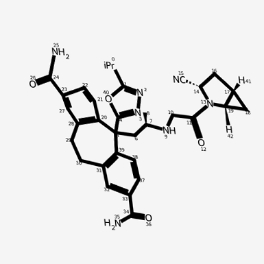 CC(C)c1nnc(C2(C[C@@H](C)NCC(=O)N3[C@H](C#N)C[C@@H]4C[C@@H]43)c3ccc(C(N)=O)cc3CCc3cc(C(N)=O)ccc32)o1